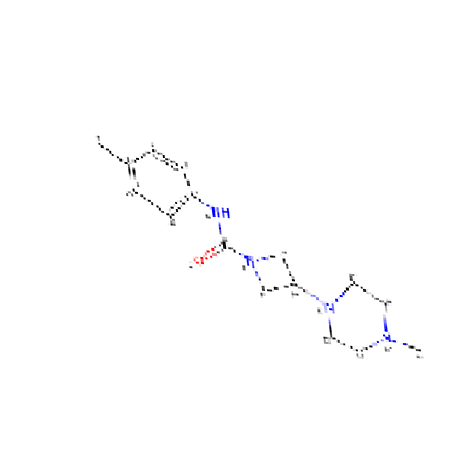 Cc1ccc(NC(=O)N2CC(N3CCN(C)CC3)C2)cc1